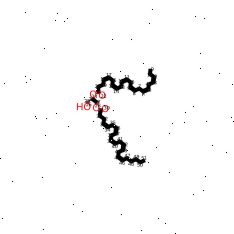 CC/C=C\C/C=C\C/C=C\C/C=C\C/C=C\C/C=C\CCC(=O)O[C@@H](CO)COC(=O)CC/C=C\C/C=C\C/C=C\C/C=C\C/C=C\CCCCC